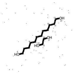 OCCCCCCCCCCCCO.OCCO